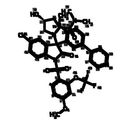 COc1ccc(S(=O)(=O)N2C(=O)C(c3cc(-c4ccncc4)ccc3OC)(N3C[C@H](O)C[C@H]3C(=O)N(C)C)c3cc(Cl)ccc32)c(OC(F)(F)F)c1